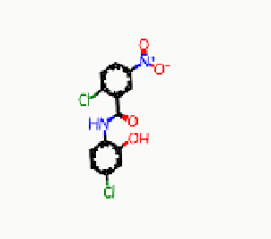 O=C(Nc1ccc(Cl)cc1O)c1cc([N+](=O)[O-])ccc1Cl